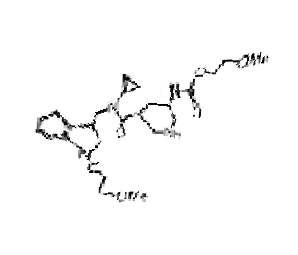 COCCCN1CC(CN(C(=O)[C@@H]2CNC[C@H](NC(=O)OCCOC)C2)C2CC2)c2ccccc21